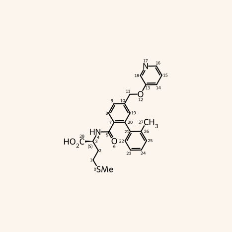 CSCC[C@H](NC(=O)c1ccc(COc2cccnc2)cc1-c1ccccc1C)C(=O)O